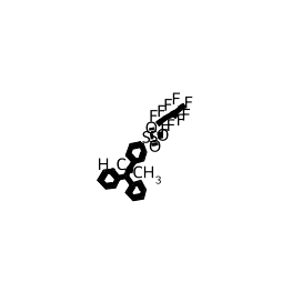 CC(C)(c1ccc(SS(=O)(=O)OC(F)(F)C(F)(F)C(F)(F)C(F)(F)F)cc1)C(c1ccccc1)c1ccccc1